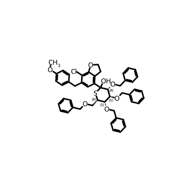 COc1ccc(Cc2cc(C3(O)S[C@H](COCc4ccccc4)[C@@H](OCc4ccccc4)[C@H](OCc4ccccc4)[C@H]3OCc3ccccc3)c3c(c2Cl)OCC3)cc1